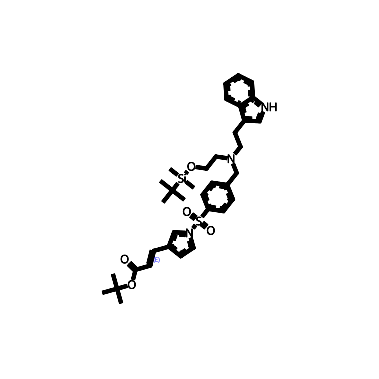 CC(C)(C)OC(=O)/C=C/c1ccn(S(=O)(=O)c2ccc(CN(CCO[Si](C)(C)C(C)(C)C)CCc3c[nH]c4ccccc34)cc2)c1